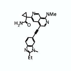 CCc1nc2ccc(C#Cc3cnc(NC)c4cnc(C5(C(N)=O)CC5)cc34)cc2n1C